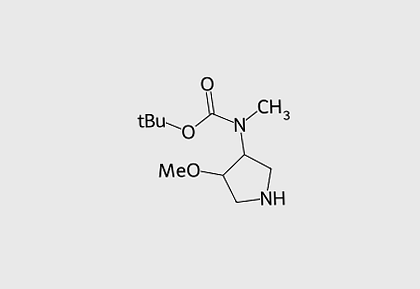 COC1CNCC1N(C)C(=O)OC(C)(C)C